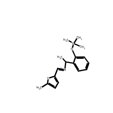 Cc1ccc(/C=N/C(C)c2ccccc2O[Si](C)(C)C)o1